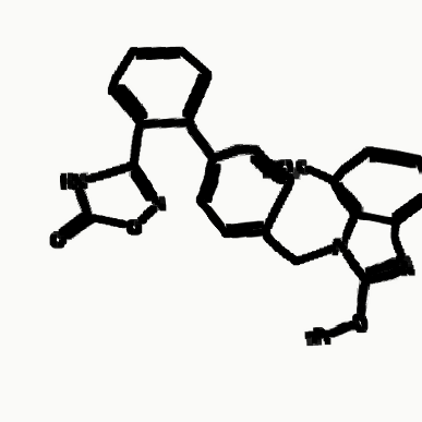 CCCOc1nc2cccc(C(=O)O)c2n1Cc1ccc(-c2ccccc2-c2noc(=O)[nH]2)cc1